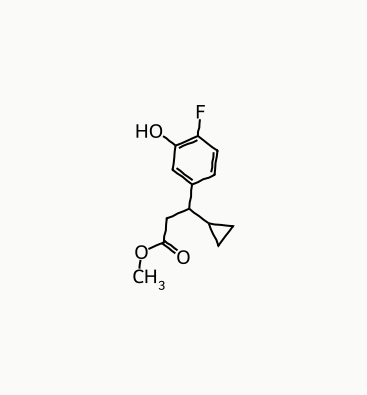 COC(=O)CC(c1ccc(F)c(O)c1)C1CC1